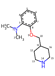 CN(C)c1ccccc1OCC1CCNCC1